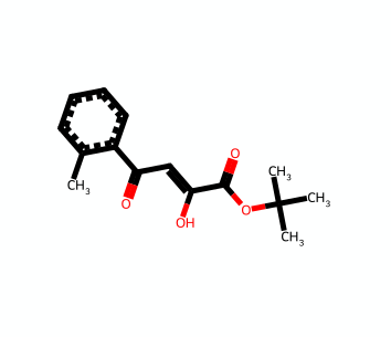 Cc1ccccc1C(=O)C=C(O)C(=O)OC(C)(C)C